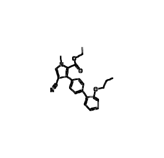 CCCOc1ccccc1-c1ccc(-c2c(C#N)cn(C)c2C(=O)OCC)cc1